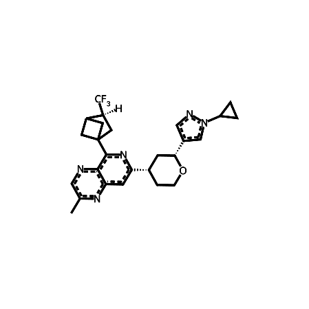 Cc1cnc2c(C34CC(C3)[C@@H](C(F)(F)F)C4)nc([C@H]3CCO[C@@H](c4cnn(C5CC5)c4)C3)cc2n1